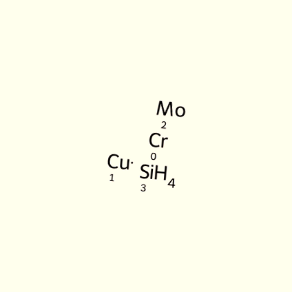 [Cr].[Cu].[Mo].[SiH4]